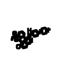 CCS(=O)(=O)c1ccccc1Cn1c(=O)ccc2cnc(Nc3ccc(N4CCN(C)CC4)cc3)nc21